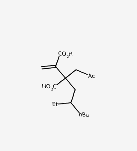 C=C(C(=O)O)C(CC(C)=O)(CC(CC)CCCC)C(=O)O